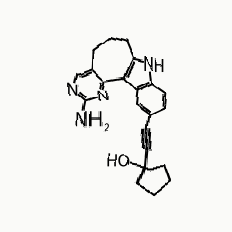 Nc1ncc2c(n1)-c1c([nH]c3ccc(C#CC4(O)CCCC4)cc13)CCC2